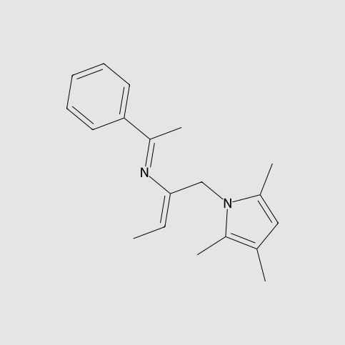 C/C=C(Cn1c(C)cc(C)c1C)\N=C(/C)c1ccccc1